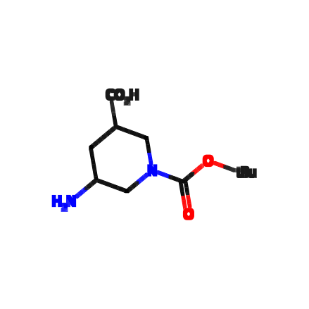 CC(C)(C)OC(=O)N1CC(N)CC(C(=O)O)C1